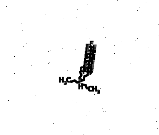 CCCC[PH](CCCC)(CCCC)CCCC(F)(F)C(F)(F)C(F)(F)C(F)(F)C(F)(F)C(F)(F)C(F)(F)C(F)(F)F